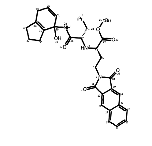 CC(C)C[C@H](N[C@H](CCN1C(=O)c2cc3ccccc3cc2C1=O)C(=O)OC(C)(C)C)C(=O)NC1(O)C=CCC2=C1CCC2